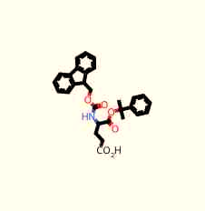 CC(C)(OC(=O)C(CCC(=O)O)NC(=O)OCC1c2ccccc2-c2ccccc21)c1ccccc1